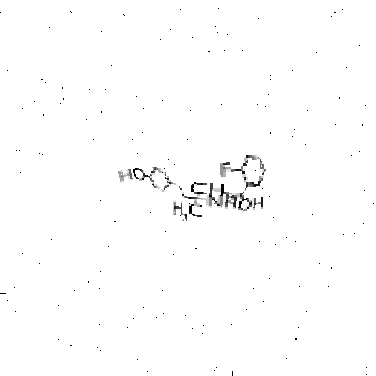 CC(C)(CCc1ccc(O)cc1)NC[C@H](O)c1ccccc1F